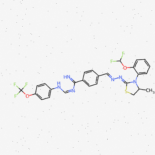 CC1CS/C(=N\N=C\c2ccc(C(=N)/N=C\Nc3ccc(OC(F)(F)F)cc3)cc2)N1c1ccccc1OC(F)F